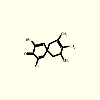 CC1=C(C)C(C)CC2(C=C(C(C)(C)C)C(=O)C(C(C)(C)C)=C2)C1